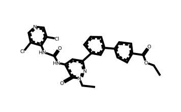 CCOC(=O)c1ccc(-c2cccc(-c3cc(NC(=O)Nc4c(Cl)cncc4Cl)c(=O)n(CC)n3)c2)cc1